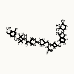 Cc1cc(OC2C(C)(C)C(NC(=O)c3cnc(N4CCC(CN(CC(F)F)C5CC(Oc6ccc7c(c6)C(=O)N([C@@H]6CCC(=O)NC6=O)C7)C5)CC4)nc3)C2(C)C)cc(C)c1C#N